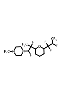 FC(C(F)(F)F)C(F)(F)C1CCCC(C(F)(C(F)N2CCN(C(F)(F)F)CC2)C(F)(F)F)O1